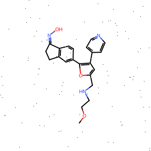 COCCNCc1cc(-c2ccncc2)c(-c2ccc3c(c2)CC/C3=N/O)o1